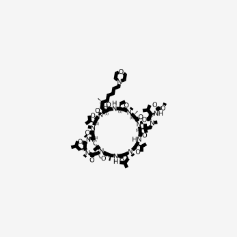 CC[C@@H]1NC(=O)[C@@H]2[C@@H]([C@H](C)CCCCCN3CCOCC3)ON2C(=O)[C@H](C(C)C)N(C)C(=O)[C@@H]2CC(C)N(C(=O)[C@H](C)NC(=O)[C@H](CC(C)C)N(C)C(=O)[C@H](C(C)C)NC(=O)[C@H](C(C)(C)CN(C)C(=O)[C@H](NC(=O)OC)C(C)C)N(C)C(=O)[C@@H](C)N(C)C1=O)[C@H](C)C(=O)N(C)[C@@H](CC(C)C)C(=O)N2C